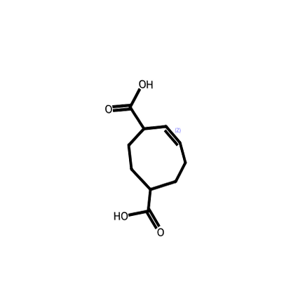 O=C(O)C1/C=C\CCC(C(=O)O)CC1